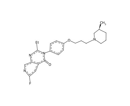 CCc1nc2cnc(F)cc2c(=O)n1-c1ccc(OCCCN2CCC[C@H](C)C2)cc1